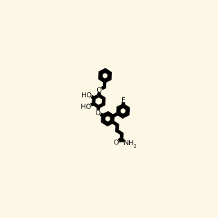 NC(=O)CCCc1ccc(OC2CCC(OCc3ccccc3)C(O)C2O)cc1-c1cccc(F)c1